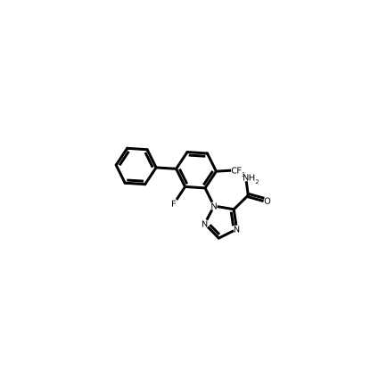 NC(=O)c1ncnn1-c1c(C(F)(F)F)ccc(-c2ccccc2)c1F